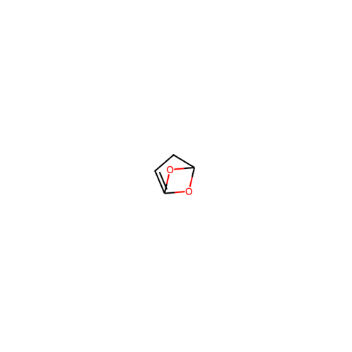 C1=C2OC(C1)O2